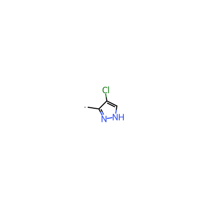 [CH2]c1n[nH]cc1Cl